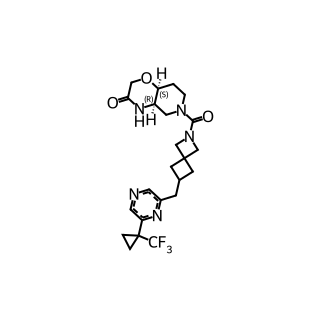 O=C1CO[C@H]2CCN(C(=O)N3CC4(CC(Cc5cncc(C6(C(F)(F)F)CC6)n5)C4)C3)C[C@H]2N1